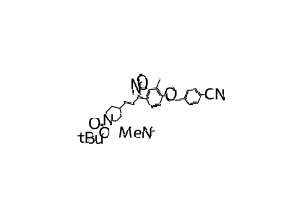 CNC.Cc1c(OCc2ccc(C#N)cc2)ccc2c(CCC3CCN(C(=O)OC(C)(C)C)CC3)noc12